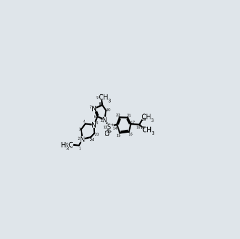 CCN1CCN(C2=NC(C)CN2[S+]([O-])c2ccc(C(C)C)cc2)CC1